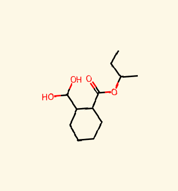 CCC(C)OC(=O)C1CCCCC1C(O)O